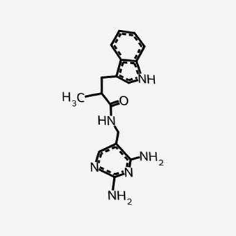 CC(Cc1c[nH]c2ccccc12)C(=O)NCc1cnc(N)nc1N